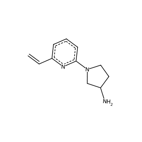 C=Cc1cccc(N2CCC(N)C2)n1